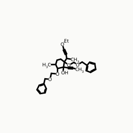 CC#CC1(O)C(OCOCc2ccccc2)C(C)CCC1(OCOCc1ccccc1)C(C)C#COCC